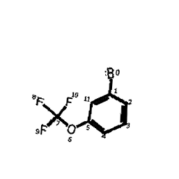 [B]c1cccc(OC(F)(F)F)c1